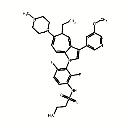 CCCS(=O)(=O)Nc1ccc(F)c(-n2cc(-c3cncc(OC)c3)c3c2=CC=C(N2CCN(C)CC2)C(CC)C=3)c1F